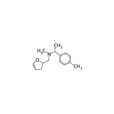 Cc1ccc(C(C)N(C)CC2CC=CO2)cc1